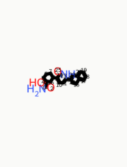 NC(=O)C1(O)CCCC(c2ccc(-c3ccc4ccccc4c3)[nH]c2=O)C1